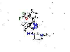 CN1CCC[C@@H](Nc2nnc(-c3ccccc3OC(F)F)c3c2CCC3)C1